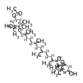 CC(=O)O[C@H]1CC(C)(C)C(=C=C/C(C)=C/C=C/C(C)=C/C=C(C)/C=C/C=C(\C)C(=O)C[C@@]23O[C@]2(C)C[C@@H](O)CC3(C)C)[C@](C)(O)C1